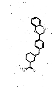 NC(=O)C1CCCN(Cc2ccc(C3COc4ccccc4O3)cc2)C1